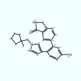 CC1(Cn2cc(-c3ccc(C#N)nc3-c3cnc4c(c3)C(=O)NC4)cn2)CCCC1